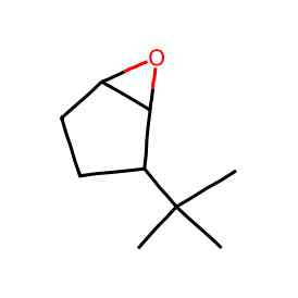 CC(C)(C)C1CCC2OC21